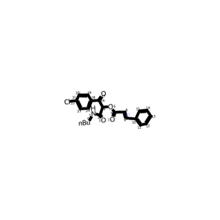 CCCCNC(=O)C(OC(=O)/C=C/c1ccccc1)C(=O)c1ccc(Cl)cc1